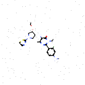 CCO[C@@H]1CN(c2nccs2)C[C@H]1Nc1c(C)nc(-c2ccc(N(C)C)cc2Cl)n(CC)c1=O